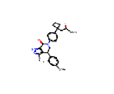 CNC(=O)CC1(c2ccc(N3CC(c4ccc(OC)cc4)c4c(C(F)(F)F)n[nH]c4C3=O)cc2)CCC1